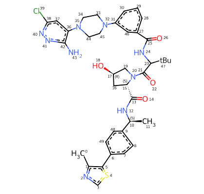 Cc1ncsc1-c1ccc([C@H](C)NC(=O)[C@@H]2C[C@@H](O)CN2C(=O)C(NC(=O)c2cccc(N3CCN(c4cc(Cl)nnc4N)CC3)c2)C(C)(C)C)cc1